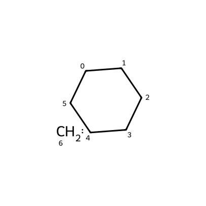 C1CCCCC1.[CH2]